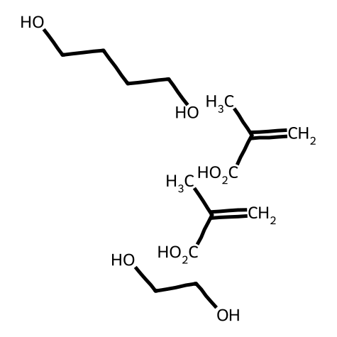 C=C(C)C(=O)O.C=C(C)C(=O)O.OCCCCO.OCCO